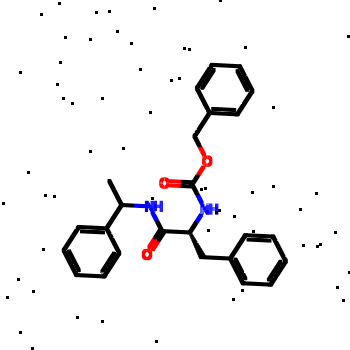 CC(NC(=O)[C@H](Cc1ccccc1)NC(=O)OCc1ccccc1)c1ccccc1